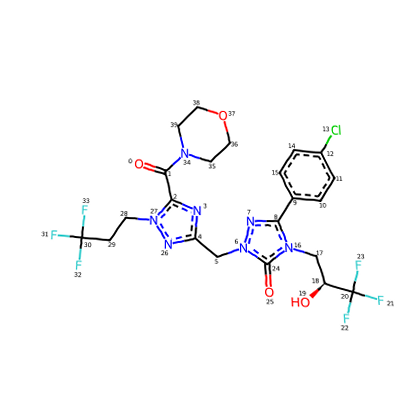 O=C(c1nc(Cn2nc(-c3ccc(Cl)cc3)n(C[C@H](O)C(F)(F)F)c2=O)nn1CCC(F)(F)F)N1CCOCC1